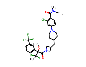 COC(C(=O)N1CC(CC2CCN(c3ccc(C(=O)N(C)C)c(Cl)c3)CC2)C1)(c1cccc(C(F)(F)F)c1)C(C)(F)F